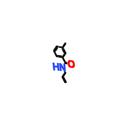 C=CCNC(=O)c1cccc(C)c1